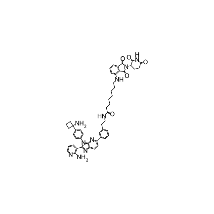 Nc1ncccc1-c1nc2ccc(-c3cccc(CCNC(=O)CCCCCCCNc4cccc5c4C(=O)N(C4CCC(=O)NC4=O)C5=O)c3)nc2n1-c1ccc(C2(N)CCC2)cc1